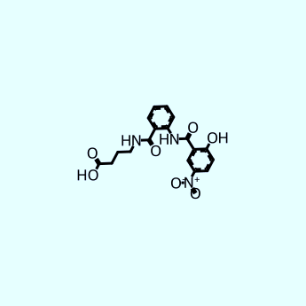 O=C(O)CCCNC(=O)c1ccccc1NC(=O)c1cc([N+](=O)[O-])ccc1O